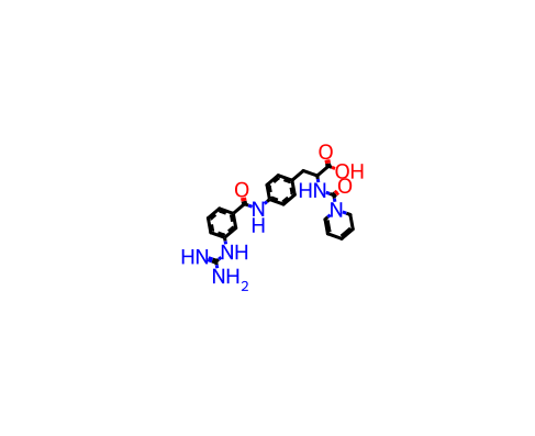 N=C(N)Nc1cccc(C(=O)Nc2ccc(CC(NC(=O)N3C=CC=CC3)C(=O)O)cc2)c1